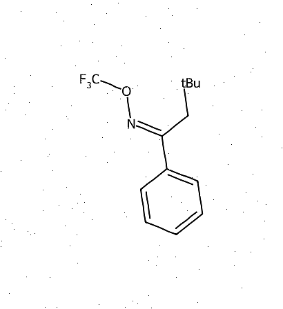 CC(C)(C)CC(=NOC(F)(F)F)c1ccccc1